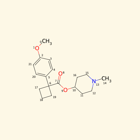 COc1ccc(C2(C(=O)OC3CCN(C)CC3)CCC2)cc1